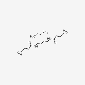 CCCC.O=C(NCCCCNC(=O)OCC1CO1)OCC1CO1